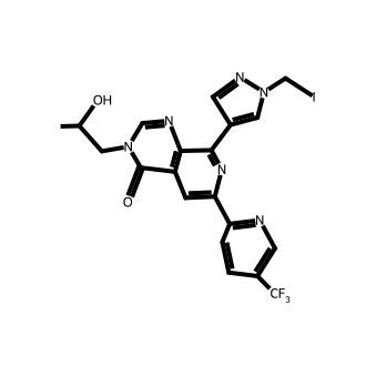 CC(O)Cn1cnc2c(-c3cnn(CI)c3)nc(-c3ccc(C(F)(F)F)cn3)cc2c1=O